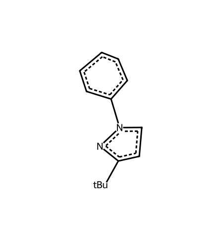 CC(C)(C)c1ccn(-c2ccccc2)n1